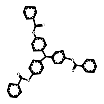 O=C(Oc1ccc([C](c2ccc(OC(=O)c3ccccc3)cc2)c2ccc(OC(=O)c3ccccc3)cc2)cc1)c1ccccc1